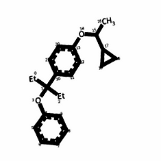 CCC(CC)(Oc1ccccc1)c1ccc(OC(C)C2CC2)cc1